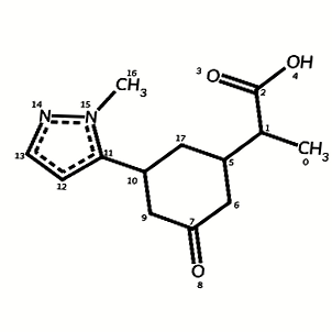 CC(C(=O)O)C1CC(=O)CC(c2ccnn2C)C1